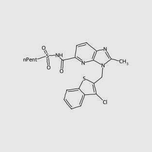 CCCCCS(=O)(=O)NC(=O)c1ccc2nc(C)n(Cc3sc4ccccc4c3Cl)c2n1